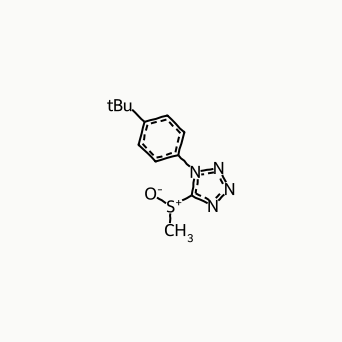 C[S+]([O-])c1nnnn1-c1ccc(C(C)(C)C)cc1